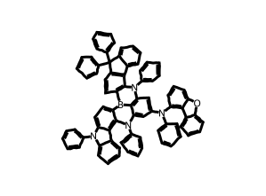 c1ccc(N2c3cc(N(c4ccccc4)c4cccc5oc6ccccc6c45)cc4c3B(c3ccc5c(c32)-c2ccccc2C5(c2ccccc2)c2ccccc2)c2ccc3c(c2N4c2ccccc2)c2ccccc2n3-c2ccccc2)cc1